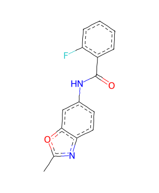 Cc1nc2ccc(NC(=O)c3ccccc3F)cc2o1